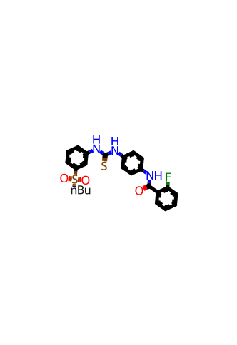 CCCCS(=O)(=O)c1cccc(NC(=S)Nc2ccc(NC(=O)c3ccccc3F)cc2)c1